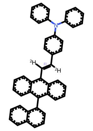 [2H]/C(=C(/[2H])c1c2ccccc2c(-c2cccc3ccccc23)c2ccccc12)c1ccc(N(c2ccccc2)c2ccccc2)cc1